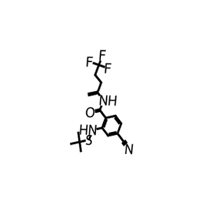 C=C(CCC(F)(F)F)NC(=O)c1ccc(C#N)cc1NSC(C)(C)C